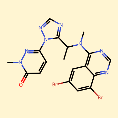 CC(c1ncnn1-c1ccc(=O)n(C)n1)N(C)c1ncnc2c(Br)cc(Br)cc12